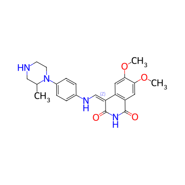 COc1cc2c(cc1OC)/C(=C/Nc1ccc(N3CCNCC3C)cc1)C(=O)NC2=O